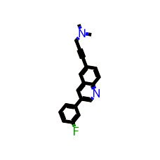 CN(C)CC#Cc1ccc2ncc(-c3cccc(F)c3)cc2c1